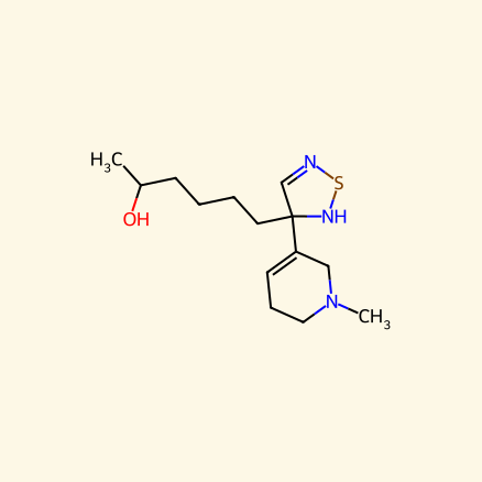 CC(O)CCCCC1(C2=CCCN(C)C2)C=NSN1